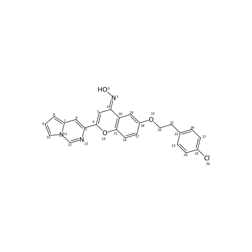 ON=c1cc(-c2cc3cccn3cn2)oc2ccc(OCCc3ccc(Cl)cc3)cc12